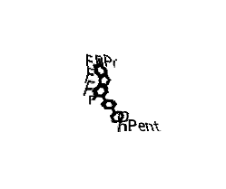 CCCCCC1CC=C(c2ccc(-c3cc4c(c(F)c3F)-c3c(cc(CCC)c(F)c3F)C4)cc2)CO1